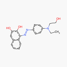 CCN(CCO)c1ccc(N=Nc2c(O)c(O)cc3ccccc23)cc1